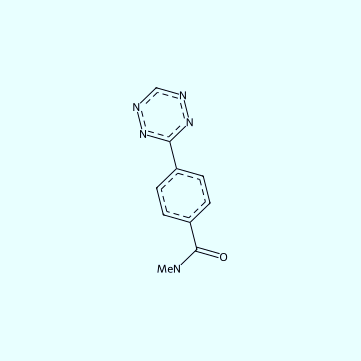 CNC(=O)c1ccc(-c2nncnn2)cc1